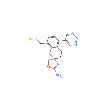 NC1=NC2(CCc3c(-c4cncnc4)ccc(CCF)c3C2)CO1